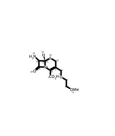 COCCOCC1=C(C(=O)O)N2C(=O)C(N)[C@@H]2SC1